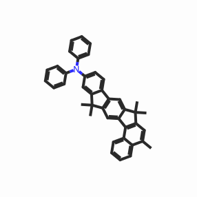 Cc1cc2c(c3ccccc13)-c1cc3c(cc1C2(C)C)-c1ccc(N(c2ccccc2)c2ccccc2)cc1C3(C)C